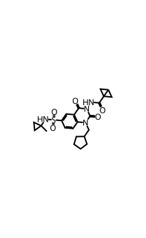 CC1(NS(=O)(=O)c2ccc3c(c2)c(=O)n(NC(=O)C24CC2C4)c(=O)n3CC2CCCC2)CC1